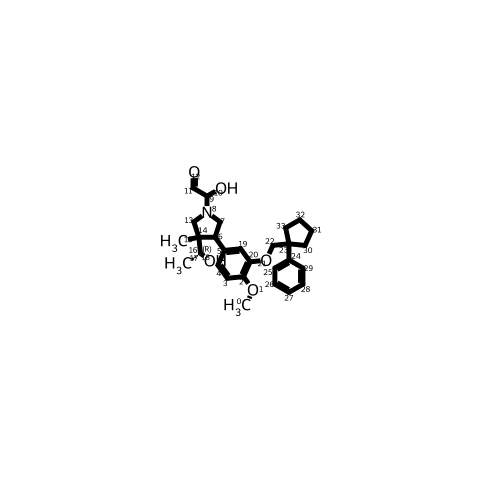 COc1ccc(C2CN(C(O)C=O)CC2(C)[C@@H](C)O)cc1OCC1(c2ccccc2)CCCC1